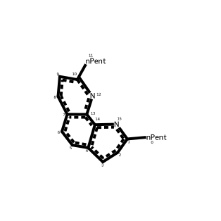 CCCCCc1ccc2ccc3ccc(CCCCC)nc3c2n1